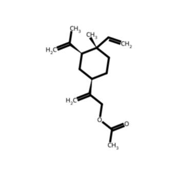 C=C[C@]1(C)CC[C@@H](C(=C)COC(C)=O)C[C@H]1C(=C)C